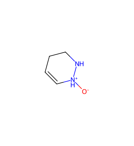 [O-][NH+]1C=CCCN1